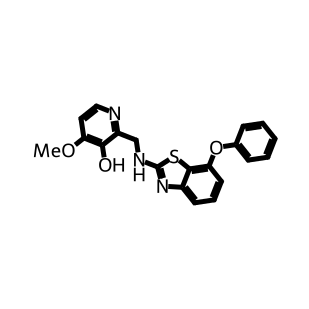 COc1ccnc(CNc2nc3cccc(Oc4ccccc4)c3s2)c1O